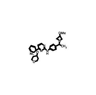 COC1CN(C(C)c2ccc(Nc3nccc(C4(OC5CCOCC5)C=CC=CC4C#N)n3)cc2)C1